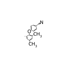 Cc1c[c]c(Oc2ccc(C#N)cc2)c(C)c1